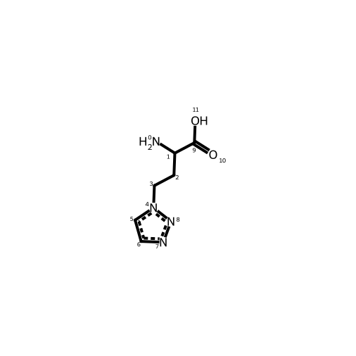 NC(CCn1ccnn1)C(=O)O